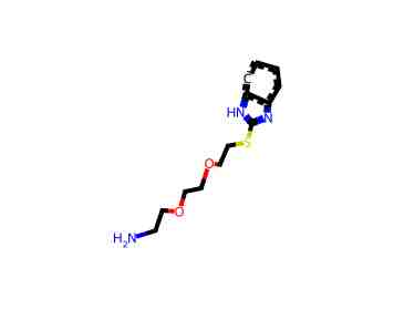 NCCOCCOCCSc1nc2ccccc2[nH]1